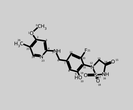 COc1cc(NCc2cc(O)c(N3CC(=O)NS3(=O)=O)c(F)c2)ncc1C